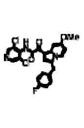 COc1ccn2c(Cc3ccc(F)cc3)cc(C(=O)C(=O)Nc3c(Cl)cncc3Cl)c2c1